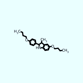 CCCCOc1ccc(C2Nc3ccc(OCCCC)cc3C2C)cc1